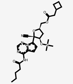 CCCCC(=O)Nc1ncnn2c([C@]3(C#N)O[C@@H](COC(=O)CC4CCC4)[CH][C@H]3O[Si](C)(C)C)ccc12